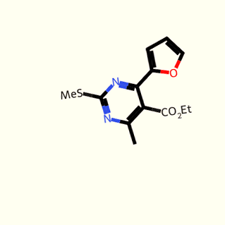 CCOC(=O)c1c(C)nc(SC)nc1-c1ccco1